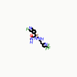 CNC(=O)c1nc(NCCCc2ccc(C(F)(F)F)nc2)sc1-c1ccc2cnc(F)cc2c1